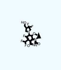 COC1c2c(c(=O)[nH]c(=O)n2C2CC2)C(C(F)F)=C(F)C1N1CC(CO)C(F)(F)C1